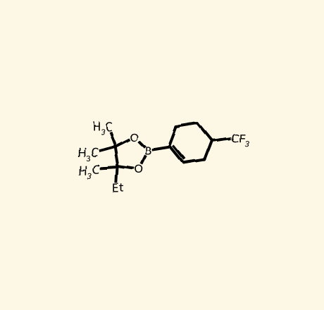 CCC1(C)OB(C2=CCC(C(F)(F)F)CC2)OC1(C)C